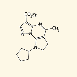 CCOC(=O)c1cnn2c3c(c(C)nc12)CCN3C1CCCC1